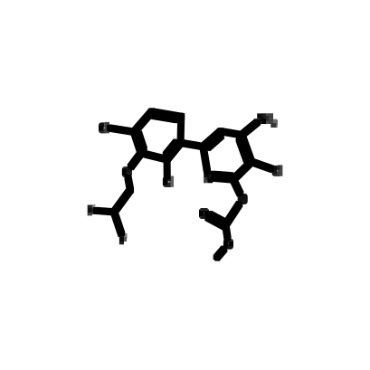 COC(=O)Oc1nc(-c2ccc(Cl)c(OCC(F)F)c2Cl)cc(N)c1Cl